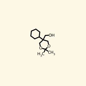 CC1(C)OCC(CO)(C2CCCCC2)CO1